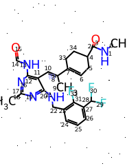 CNC(=O)C1CC=C(/C(C)=C/c2c(NC=O)nc(C)nc2NCc2cccc(C(F)F)c2F)CC1